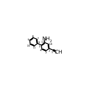 C#Cc1ccc(-c2ccccc2)c(N)c1